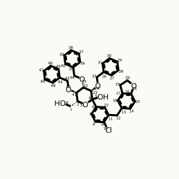 OC[C@H]1OC(O)(c2ccc(Cl)c(Cc3ccc4c(c3)CCO4)c2)[C@H](OCc2ccccc2)[C@@H](OCc2ccccc2)[C@@H]1OCc1ccccc1